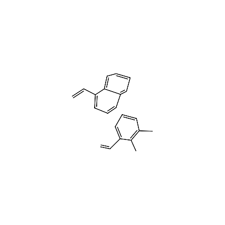 C=Cc1cccc(C)c1C.C=Cc1cccc2ccccc12